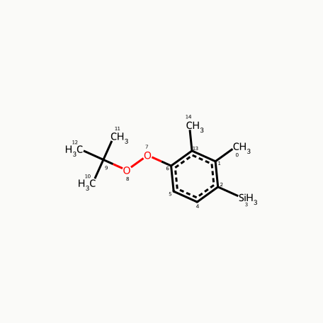 Cc1c([SiH3])ccc(OOC(C)(C)C)c1C